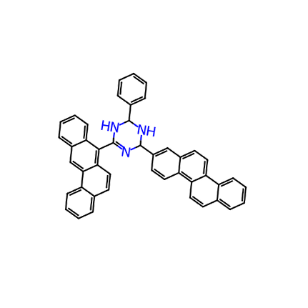 c1ccc(C2NC(c3c4ccccc4cc4c3ccc3ccccc34)=NC(c3ccc4c(ccc5c6ccccc6ccc45)c3)N2)cc1